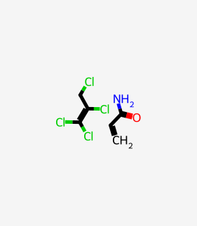 C=CC(N)=O.ClCC(Cl)=C(Cl)Cl